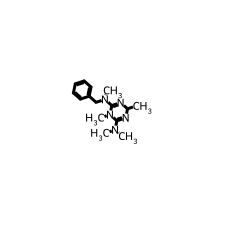 CC1N=C(N(C)C)N(C)C(N(C)Cc2ccccc2)=N1